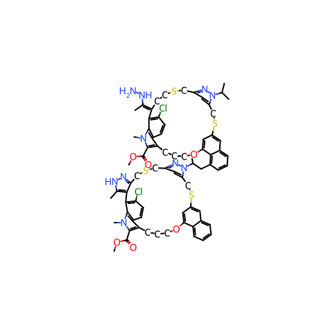 COC(=O)c1c2c3ccc(Cl)c(c3n1C)/C(=C(\C)NN)CCSCc1cc(n(C(C)C)n1)CSc1cc(c3c(CC(C)n4nc5cc4CSc4cc(c6ccccc6c4)OCCCc4c(C(=O)OC)n(C)c6c(c(Cl)ccc46)-c4c(n[nH]c4C)CSC5)cccc3c1)OCCC2